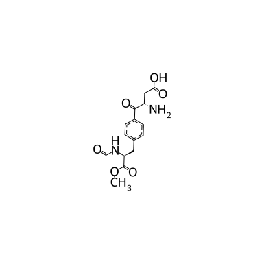 COC(=O)[C@H](Cc1ccc(C(=O)[C@@H](N)CC(=O)O)cc1)NC=O